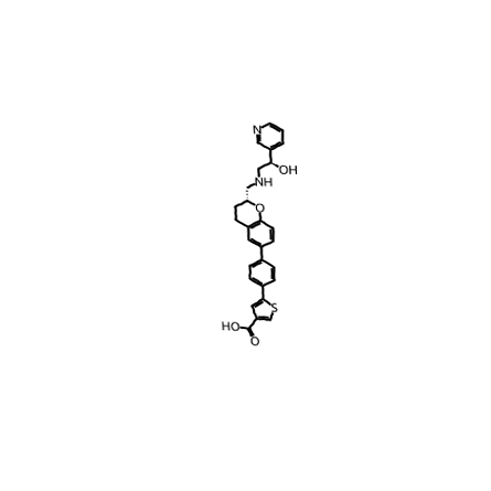 O=C(O)c1csc(-c2ccc(-c3ccc4c(c3)CC[C@H](CNC[C@H](O)c3cccnc3)O4)cc2)c1